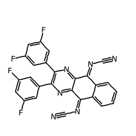 N#C/N=C1/c2ccccc2/C(=N\C#N)c2nc(-c3cc(F)cc(F)c3)c(-c3cc(F)cc(F)c3)nc21